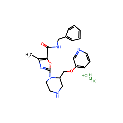 Cc1nc(N2CCNCC2COc2cccnc2)oc1C(=O)NCc1ccccc1.Cl.Cl.Cl